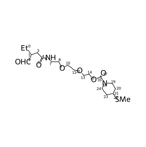 CCC(C=O)CC(=O)NCCOCCOCCOC(=O)N1CCC(SC)CC1